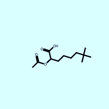 CC(=O)OC(CCCCC(C)(C)C)C(=O)O